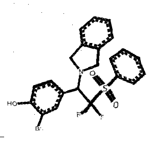 O=S(=O)(c1ccccc1)C(F)(F)C(c1ccc(O)c(Br)c1)N1Cc2ccccc2C1